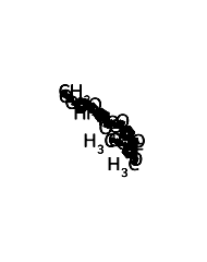 COCOc1ccc(C(=O)NC2CCN(C(=O)OOC(=O)c3ccc(C(=O)c4c(OCOC)ccc(OC)c4F)cc3)C2)cc1